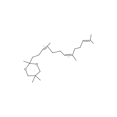 CC(C)=CCC/C(C)=C\CC/C(C)=C\CCC1(C)OCC(C)(C)CO1